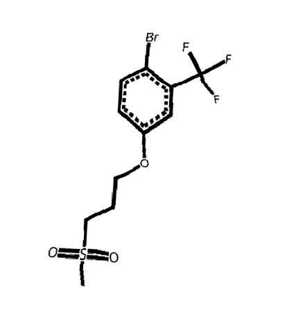 CS(=O)(=O)CCCOc1ccc(Br)c(C(F)(F)F)c1